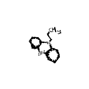 CCCN(c1ccccc1)c1ccccc1O